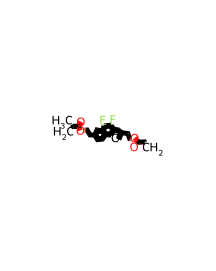 C=CC(=O)OCCc1ccc2c(c1)c(F)c(F)c1cc(CCOC(=O)C(=C)C)ccc12